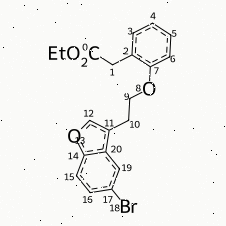 CCOC(=O)Cc1ccccc1OCCc1coc2ccc(Br)cc12